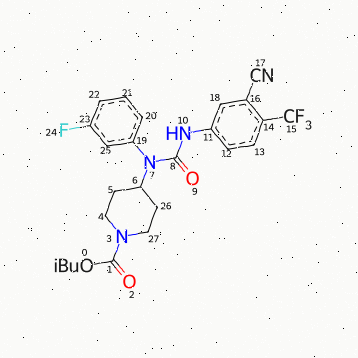 CC(C)COC(=O)N1CCC(N(C(=O)Nc2ccc(C(F)(F)F)c(C#N)c2)c2cccc(F)c2)CC1